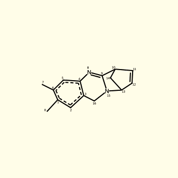 Cc1cc2c(cc1C)N=C1C3C=CC(C3)N1C2